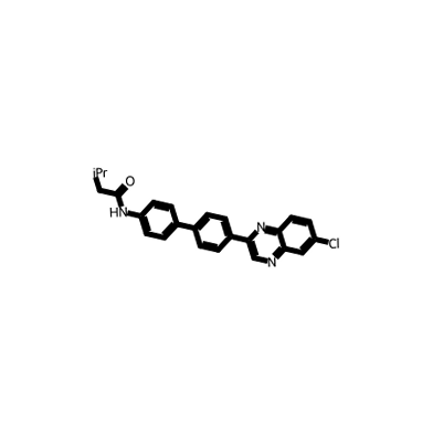 CC(C)CC(=O)Nc1ccc(-c2ccc(-c3cnc4cc(Cl)ccc4n3)cc2)cc1